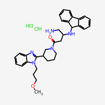 COCCCn1c(C2CCCN(C(=O)CC(CN)NC3c4ccccc4-c4ccccc43)C2)nc2ccccc21.Cl.Cl